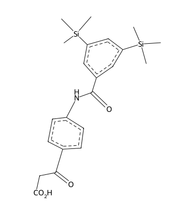 C[Si](C)(C)c1cc(C(=O)Nc2ccc(C(=O)CC(=O)O)cc2)cc([Si](C)(C)C)c1